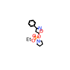 CCOP(=O)(OC1CC(c2ccccc2)=NO1)N1CCCC1